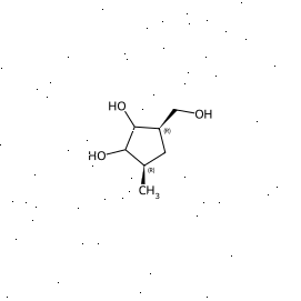 C[C@@H]1C[C@H](CO)C(O)C1O